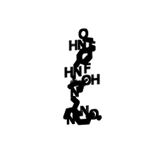 COc1ccc2nccc(CCN3C[C@H](CNCc4cc5c(cc4F)SCC(=O)N5)[C@H](O)C3)c2n1